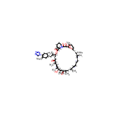 CO[C@H]1C[C@@H]2CC[C@@H](C)[C@@](O)(O2)C(=O)C(=O)N2CCCC[C@H]2C(=O)O[C@H]([C@H](C)C[C@@H]2CC[C@@H](n3cnnn3)[C@H](OC)C2)CC(=O)[C@H](C)/C=C(\C)[C@@H](O)[C@@H](OC)C(=O)[C@H](C)C[C@H](C)/C=C/C=C/C=C/1C